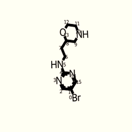 Brc1cnc(NCCC2CNCCO2)nc1